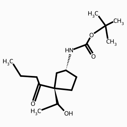 CCCC(=O)[C@@]1(C(C)O)CC[C@@H](NC(=O)OC(C)(C)C)C1